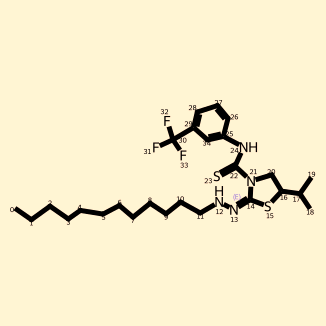 CCCCCCCCCCCCN/N=C1/SC(C(C)C)CN1C(=S)Nc1cccc(C(F)(F)F)c1